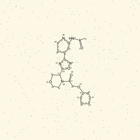 CC(=O)Nc1cc(-c2noc(C3COCCN3C(=O)COc3ccccc3)n2)ccn1